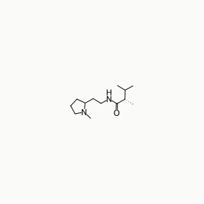 CC(C)[C@H](C)C(=O)NCCC1CCCN1C